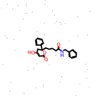 O=C(CCCCC1(c2ccccc2)CC(O)=CC(=O)O1)NCc1ccccc1